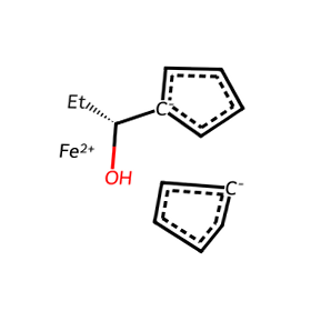 CC[C@@H](O)[c-]1cccc1.[Fe+2].c1cc[cH-]c1